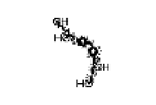 OCCSCC(O)COc1ccc(Cc2ccc(OCC(O)CSCCO)cc2)cc1